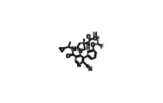 CC(NC(=O)c1cnc(C#N)c(-c2cccc(OC(F)F)c2)c1N1CC[C@](C)(NC(=O)O)C1)C1CC1